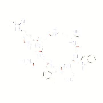 C=C(N)C1CCCNC(=O)CC[C@H](NC(=O)[C@H](CCCNC(=N)N)NC(C)=O)C(=O)N[C@@H](CCC(N)=O)C(=O)N[C@H](Cc2ccccc2Cl)C(=O)N[C@@H](CCCN)C(=O)N[C@@H](Cc2c[nH]c3ccccc23)C(=O)N1